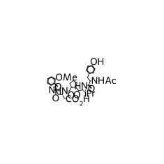 COc1cccc2nc(C(=O)[C@H](CC(=O)O)NC(=O)C3CCCC3C(=O)[C@@H](NC(=O)[C@H](Cc3ccc(O)cc3)NC(C)=O)C(C)C)oc12